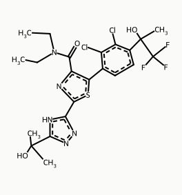 CCN(CC)C(=O)c1nc(-c2nnc(C(C)(C)O)[nH]2)sc1-c1ccc(C(C)(O)C(F)(F)F)c(Cl)c1Cl